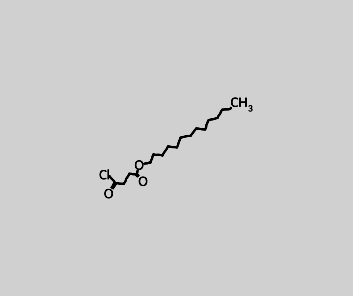 CCCCCCCCCCCCCCOC(=O)CCC(=O)Cl